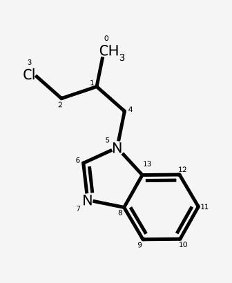 CC(CCl)Cn1cnc2ccccc21